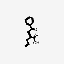 C=CCC(=CC(=O)c1ccccc1)C(=O)O